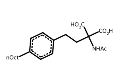 CCCCCCCCc1ccc(CCC(NC(C)=O)(C(=O)O)C(=O)O)cc1